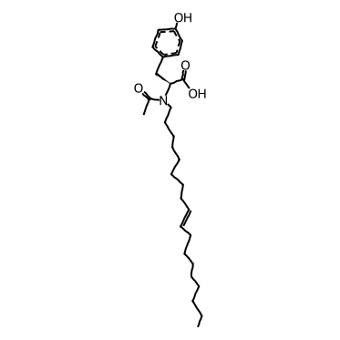 CCCCCCCCC=CCCCCCCCCN(C(C)=O)[C@@H](Cc1ccc(O)cc1)C(=O)O